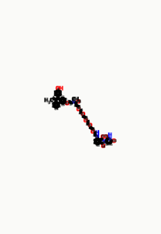 CC/C(=C(\c1ccc(O)cc1)c1ccc(OCCN(C)C(=O)CCOCCOCCOCCOCCOCCNc2cccc3c2C(=O)N(C2CCC(=O)NC2=O)C3=O)cc1)c1ccccc1